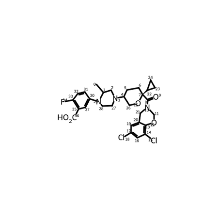 CC1CN(C2CC[C@@](C(=O)N3COc4c(Cl)cc(Cl)cc4C3)(C3CC3)OC2)CCN1c1ccc(F)c(C(=O)O)c1